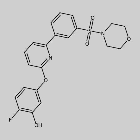 O=S(=O)(c1cccc(-c2cccc(Oc3ccc(F)c(O)c3)n2)c1)N1CCOCC1